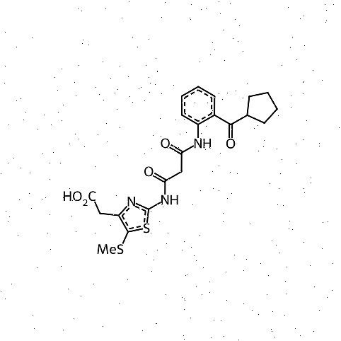 CSc1sc(NC(=O)CC(=O)Nc2ccccc2C(=O)C2CCCC2)nc1CC(=O)O